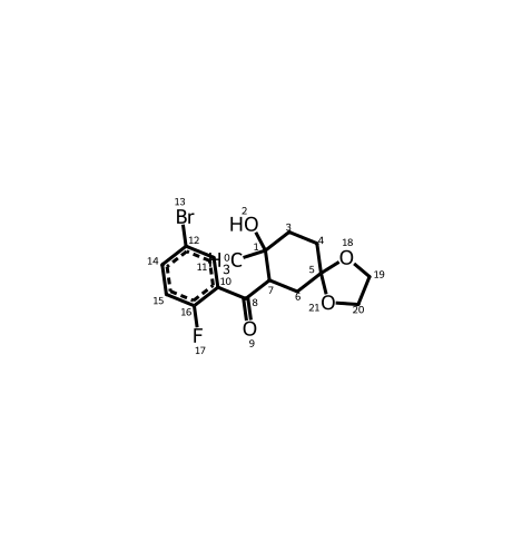 CC1(O)CCC2(CC1C(=O)c1cc(Br)ccc1F)OCCO2